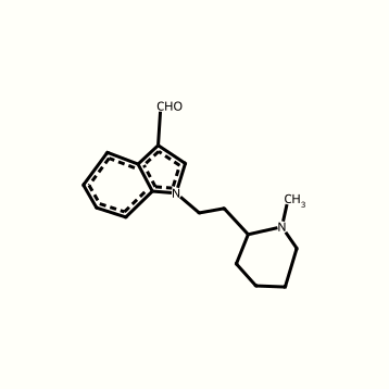 CN1CCCCC1CCn1cc(C=O)c2ccccc21